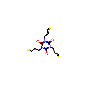 O=c1n(CCC=S)c(=O)n(CCC=S)c(=O)n1CCC=S